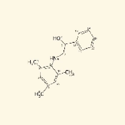 Cc1cc(C)c(NCC(O)c2ccccc2)c(C)c1